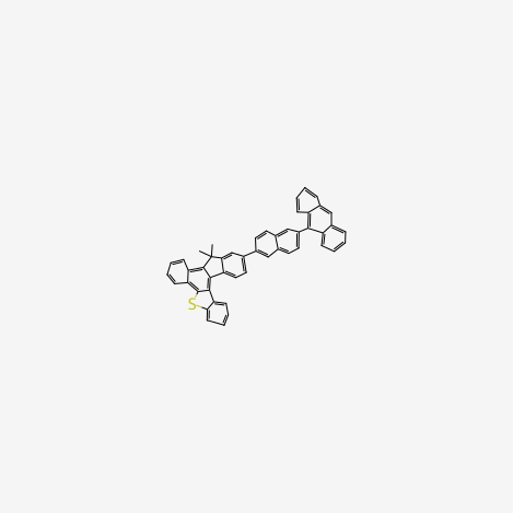 CC1(C)c2cc(-c3ccc4cc(-c5c6ccccc6cc6ccccc56)ccc4c3)ccc2-c2c1c1ccccc1c1sc3ccccc3c21